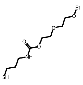 CCOCCOCCOC(=O)NCCCS